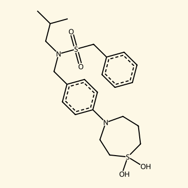 CC(C)CN(Cc1ccc(N2CCCS(O)(O)CC2)cc1)S(=O)(=O)Cc1ccccc1